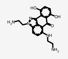 NCCNc1ccc2c3c(nn2CCN)-c2c(O)ccc(O)c2C(=O)c13